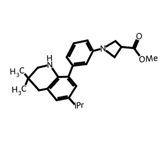 COC(=O)C1CN(c2cccc(-c3cc(C(C)C)cc4c3NCC(C)(C)C4)c2)C1